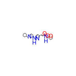 O=C(C=Cc1ccc(N[C@H]2CCCN(CC3CCCCC3)C2)nc1)NOC1CCCCO1